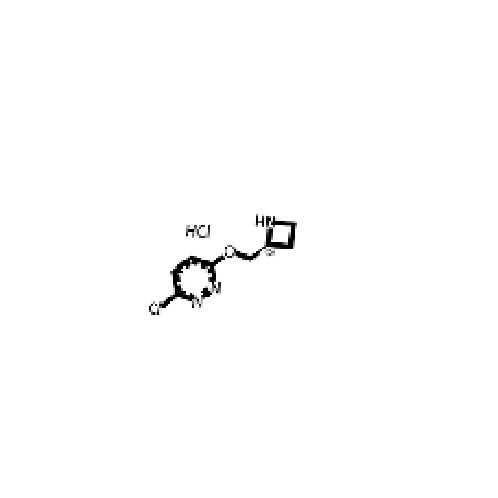 Cl.Clc1ccc(OC[C@@H]2CCN2)nn1